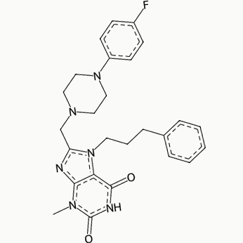 Cn1c(=O)[nH]c(=O)c2c1nc(CN1CCN(c3ccc(F)cc3)CC1)n2CCCc1ccccc1